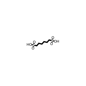 O=S(=O)(O)C[CH]CCCCS(=O)(=O)O